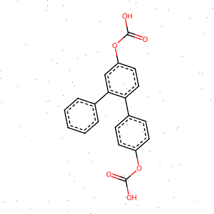 O=C(O)Oc1ccc(-c2ccc(OC(=O)O)cc2-c2ccccc2)cc1